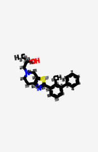 Cc1c(-c2ccccc2)cccc1-c1nc2c(s1)CN(C[C@H](C)O)CC2